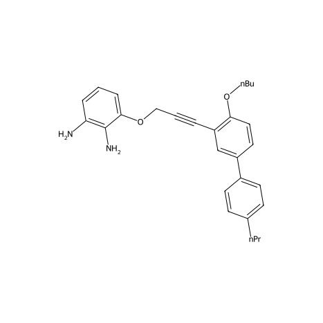 CCCCOc1ccc(-c2ccc(CCC)cc2)cc1C#CCOc1cccc(N)c1N